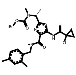 Cc1ccc(CNC(=O)c2nc([C@@H](C)N(C)C(=O)OC(C)(C)C)sc2NC(=O)C2(Cl)CC2)c(C)c1